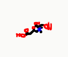 C[N+](C)(C)C[C@@H](CC(=O)O)OC(O)CCO